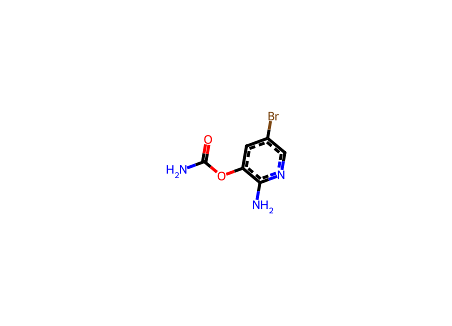 NC(=O)Oc1cc(Br)cnc1N